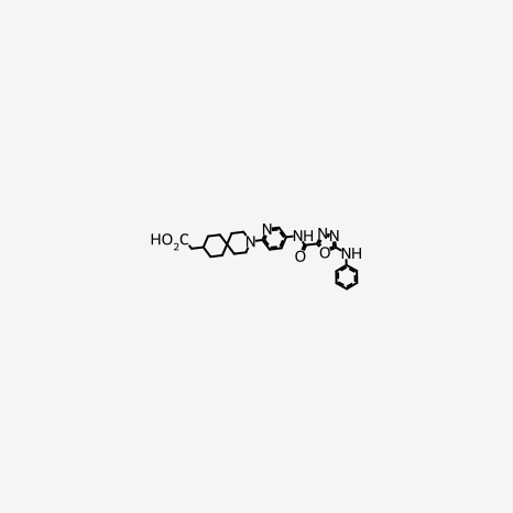 O=C(O)CC1CCC2(CC1)CCN(c1ccc(NC(=O)c3nnc(Nc4ccccc4)o3)cn1)CC2